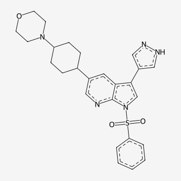 O=S(=O)(c1ccccc1)n1cc(-c2cn[nH]c2)c2cc(C3CCC(N4CCOCC4)CC3)cnc21